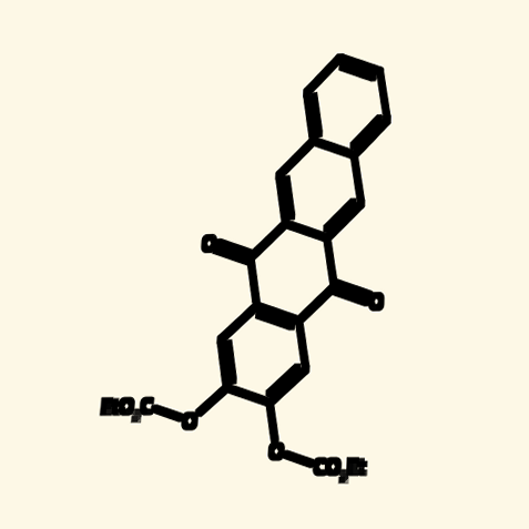 CCOC(=O)Oc1cc2c(cc1OC(=O)OCC)C(=O)c1cc3ccccc3cc1C2=O